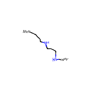 C[CH]CNCCNCCNC